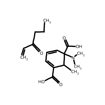 C=CC(=O)CCC.CC1C(C(=O)O)=CC=CC1(C(=O)O)N(C)C